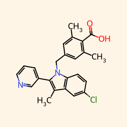 Cc1cc(Cn2c(-c3cccnc3)c(C)c3cc(Cl)ccc32)cc(C)c1C(=O)O